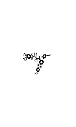 COc1ccc(S(=O)(=O)c2cccc(C(Oc3ccc(C#N)cc3)C(=O)Nc3nc4cc(OC)c(OC)cc4s3)c2)cc1